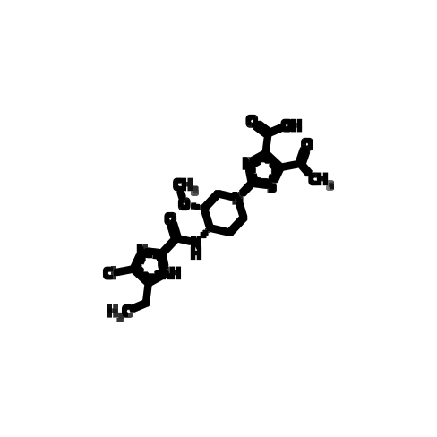 CCc1[nH]c(C(=O)N[C@H]2CCN(c3nc(C(=O)O)c(C(C)=O)s3)C[C@H]2OC)nc1Cl